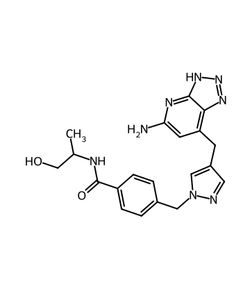 CC(CO)NC(=O)c1ccc(Cn2cc(Cc3cc(N)nc4[nH]nnc34)cn2)cc1